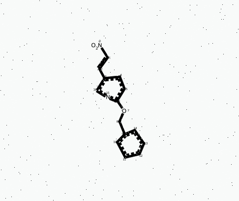 O=[N+]([O-])C=Cc1ccc(OCc2ccccc2)nc1